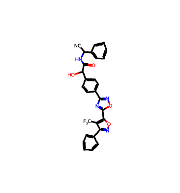 N#CC(NC(=O)C(O)c1ccc(-c2noc(-c3onc(-c4ccccc4)c3C(F)(F)F)n2)cc1)c1ccccc1